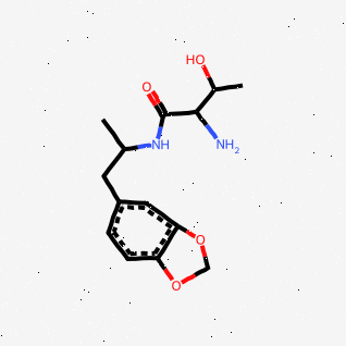 CC(Cc1ccc2c(c1)OCO2)NC(=O)C(N)C(C)O